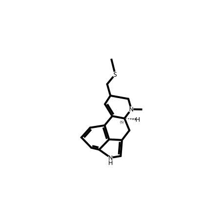 CSCC1C=C2c3cccc4[nH]cc(c34)C[C@@H]2N(C)C1